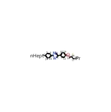 CCCCCCCc1ccc(-c2ncc(-c3ccc(OCC(F)CC(C)C)cc3)cn2)cc1